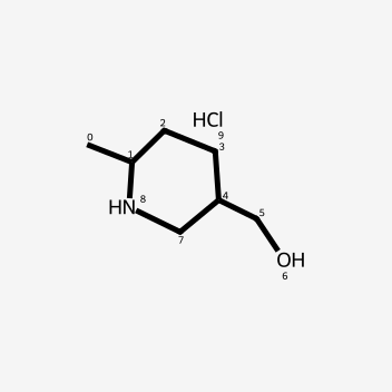 CC1CCC(CO)CN1.Cl